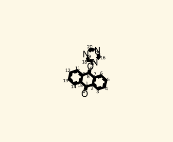 O=C1c2ccccc2C(=O)c2ccccc21.c1ncncn1